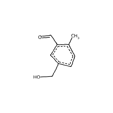 Cc1ccc(CO)cc1C=O